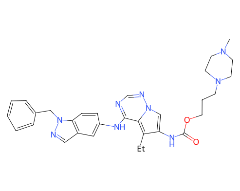 CCc1c(NC(=O)OCCCN2CCN(C)CC2)cn2ncnc(Nc3ccc4c(cnn4Cc4ccccc4)c3)c12